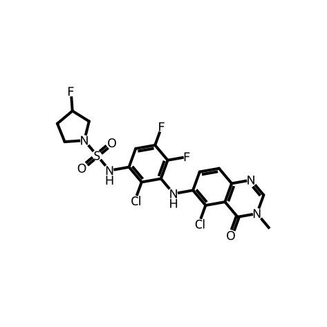 Cn1cnc2ccc(Nc3c(F)c(F)cc(NS(=O)(=O)N4CCC(F)C4)c3Cl)c(Cl)c2c1=O